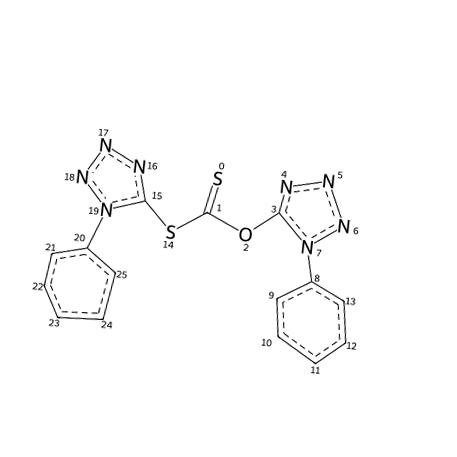 S=C(Oc1nnnn1-c1ccccc1)Sc1nnnn1-c1ccccc1